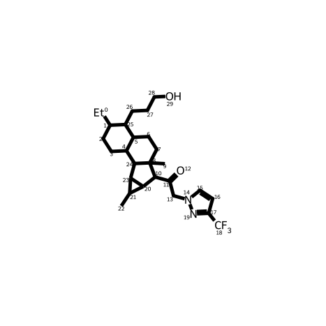 CCC1CCC2C(CCC3(C)C(C(=O)Cn4ccc(C(F)(F)F)n4)C4C(C)C4C23)C1CCCO